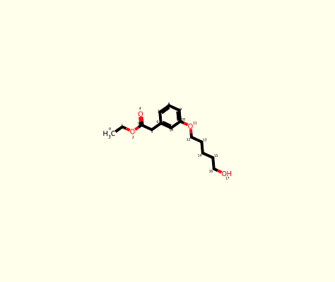 CCOC(=O)Cc1cccc(OCCCCCO)c1